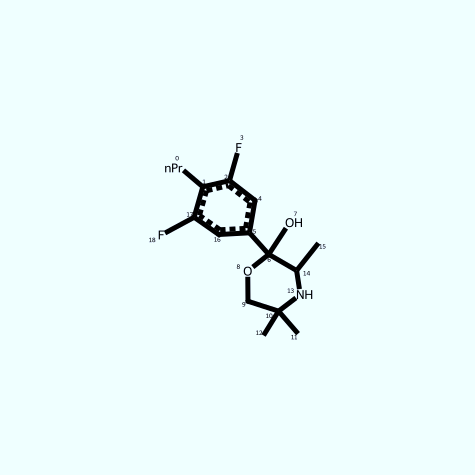 CCCc1c(F)cc(C2(O)OCC(C)(C)NC2C)cc1F